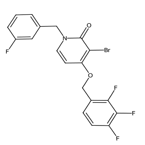 O=c1c(Br)c(OCc2ccc(F)c(F)c2F)ccn1Cc1cccc(F)c1